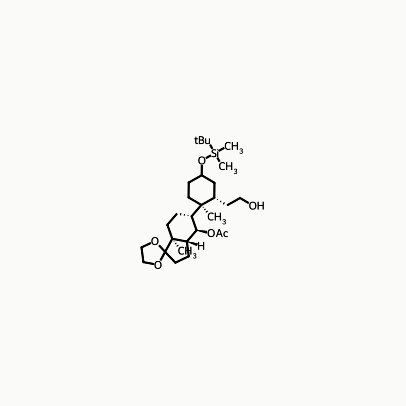 CC(=O)O[C@@H]1[C@@H]([C@@]2(C)CCC(O[Si](C)(C)C(C)(C)C)C[C@@H]2CCO)CC[C@@]2(C)[C@H]1CCC21OCCO1